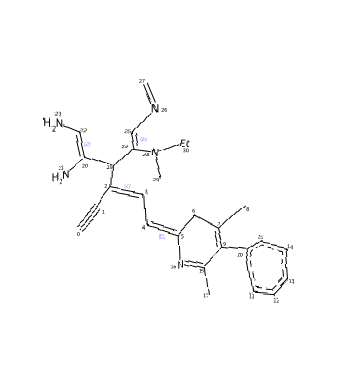 C#C/C(=C\C=C1/CC(C)=C(c2ccccc2)C(C)=N1)C(/C(N)=C/N)/C(=C/N=C)N(C)CC